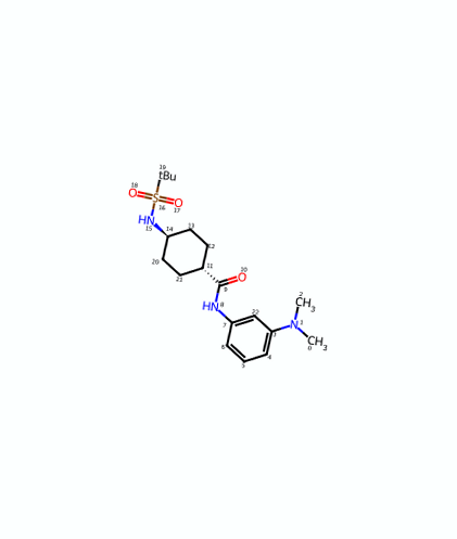 CN(C)c1cccc(NC(=O)[C@H]2CC[C@H](NS(=O)(=O)C(C)(C)C)CC2)c1